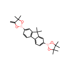 C=C1OB(c2ccc3c(c2)C(C)(C)c2cc(B4OC(C)(C)C(C)(C)O4)ccc2-3)OC1(C)C